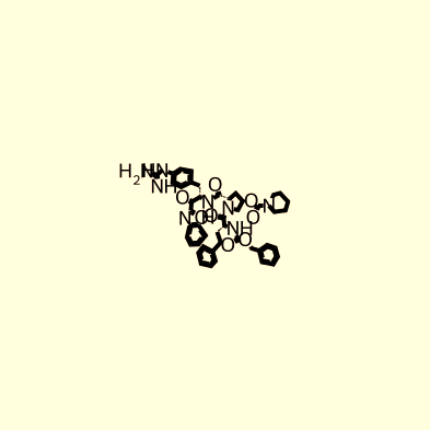 N=C(N)Nc1ccc(C[C@H](NC(=O)[C@@H]2C[C@@H](OC(=O)N3CCCCC3)CN2C(=O)[C@@H](CCc2ccccc2)NC(=O)OCc2ccccc2)C(=O)c2nc3ccccc3o2)cc1